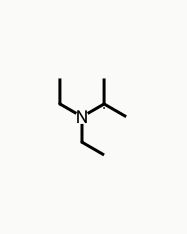 CCN(CC)[C](C)C